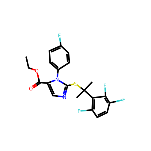 CCOC(=O)c1cnc(SC(C)(C)c2c(F)ccc(F)c2F)n1-c1ccc(F)cc1